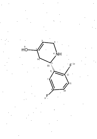 OC1=CCN[C@H](c2cc(F)ccc2F)C1